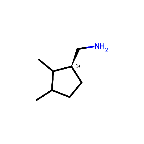 CC1CC[C@H](CN)C1C